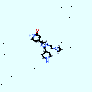 O=c1cc(-c2cn(CCN3CCC3)c(C3CCNCC3)n2)cc[nH]1